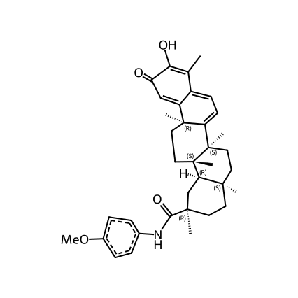 COc1ccc(NC(=O)[C@]2(C)CC[C@]3(C)CC[C@]4(C)C5=CC=C6C(=CC(=O)C(O)=C6C)[C@]5(C)CC[C@@]4(C)[C@@H]3C2)cc1